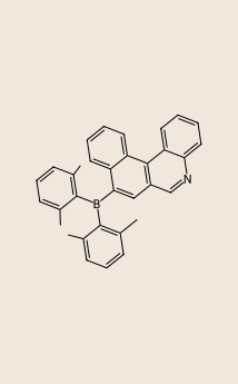 Cc1cccc(C)c1B(c1c(C)cccc1C)c1cc2cnc3ccccc3c2c2ccccc12